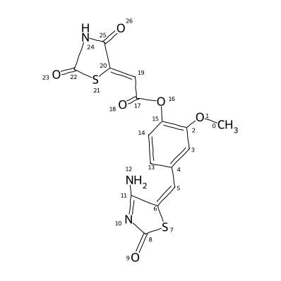 COc1cc(C=C2SC(=O)N=C2N)ccc1OC(=O)C=C1SC(=O)NC1=O